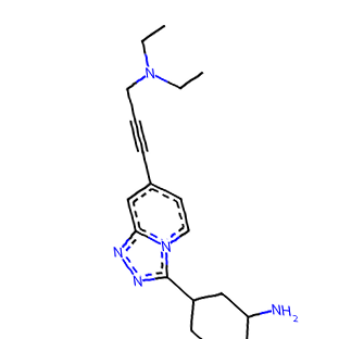 CCN(CC)CC#Cc1ccn2c(C3CCCC(N)C3)nnc2c1